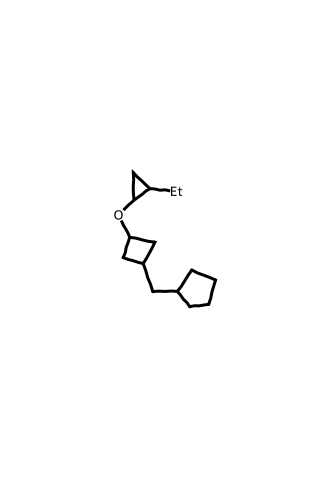 CCC1CC1OC1CC(CC2CCCC2)C1